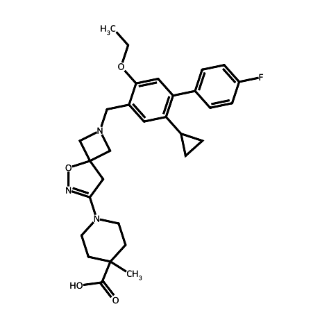 CCOc1cc(-c2ccc(F)cc2)c(C2CC2)cc1CN1CC2(CC(N3CCC(C)(C(=O)O)CC3)=NO2)C1